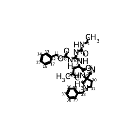 CCNC(=O)N=C(NC(=O)OCc1ccccc1)NC(CC(C)C)C(=O)NC1(C#N)CCN(Cc2ccccc2)C1